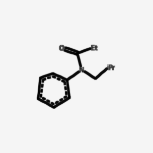 [CH2]CC(=O)N(CC(C)C)c1ccccc1